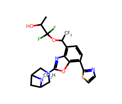 CC(O)C(F)(F)OC(c1ccc(-c2nccs2)c2oc(N3CC4CC(C3)N4C(=O)O)nc12)C(F)(F)F